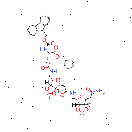 CC1(C)O[C@@H]2[C@H](O1)[C@@H](CNC(=O)C[C@@H]1O[C@H](CNC(=O)CC[C@H](NC(=O)OCC3c4ccccc4-c4ccccc43)C(=O)OCc3ccccc3)[C@H]3OC(C)(C)O[C@H]31)O[C@H]2CC(N)=O